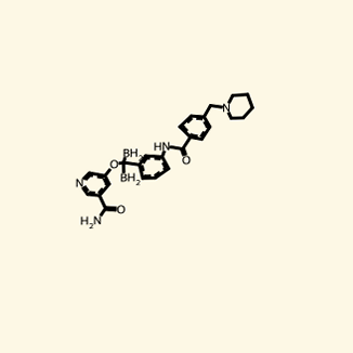 BC(B)(Oc1cncc(C(N)=O)c1)c1cccc(NC(=O)c2ccc(CN3CCCCC3)cc2)c1